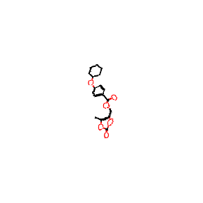 Cc1oc(=O)oc1COC(=O)c1ccc(OC2CCCCC2)cc1